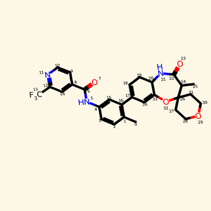 Cc1ccc(NC(=O)c2ccnc(C(F)(F)F)c2)cc1C1=CCC2NC(=O)C(C)C3(CCOCC3)OC2=C1